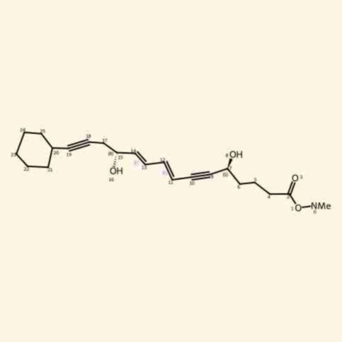 CNOC(=O)CCC[C@H](O)C#C/C=C/C=C/[C@H](O)CC#CC1CCCCC1